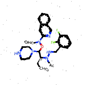 CC(=O)N(NCc1cccc(F)c1F)[C@@H](CC=O)C(ON(C=O)c1cc2ccccc2cn1)N1CCNCC1